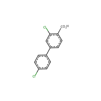 O=C(O)c1ccc(-c2ccc(Cl)cc2)cc1Cl